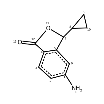 Nc1ccc2c(c1)C(C1CC1)OC2=O